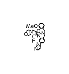 COc1cccc(CN(Cc2ccc(-n3ccnc3)cc2)c2nc(C)c(CN3CCOCC3)o2)c1